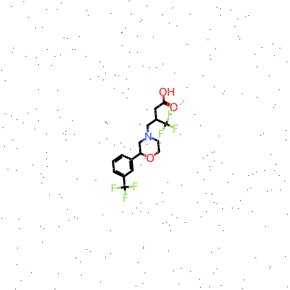 O=C(O)CC(CN1CCOC(c2cccc(C(F)(F)F)c2)C1)C(F)(F)F